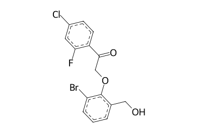 O=C(COc1c(Br)cccc1CO)c1ccc(Cl)cc1F